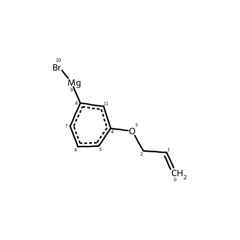 C=CCOc1ccc[c]([Mg][Br])c1